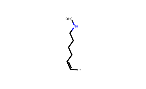 CC/C=C\CCCCN[C]=O